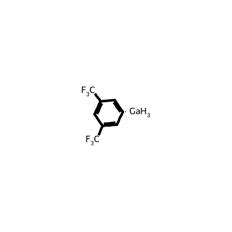 FC(F)(F)c1c[c]cc(C(F)(F)F)c1.[GaH3]